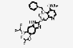 COc1ccnc(C[S+]([O-])c2nc3cc(OC(F)F)c(OC(F)F)cc3[nH]2)c1OCc1ccccc1